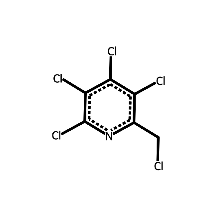 ClCc1nc(Cl)c(Cl)c(Cl)c1Cl